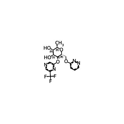 C[C@H]1O[C@H](COc2cccnn2)[C@H](Oc2cncc(C(F)(F)F)n2)[C@@H](O)[C@H]1O